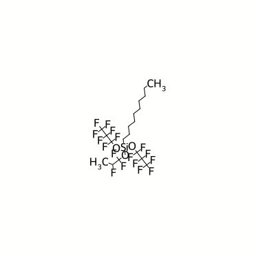 CCCCCCCCCC[Si](OC(F)(F)C(C)F)(OC(F)(F)C(F)(F)C(F)(F)F)OC(F)(F)C(F)(F)C(F)(F)F